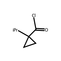 CC(C)C1(C(=O)Cl)CC1